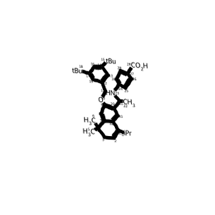 CC(C)C1=CCC(C)(C)c2cc(OCc3cc(C(C)(C)C)cc(C(C)(C)C)c3)c(C(C)Nc3ccc(C(=O)O)cc3)cc21